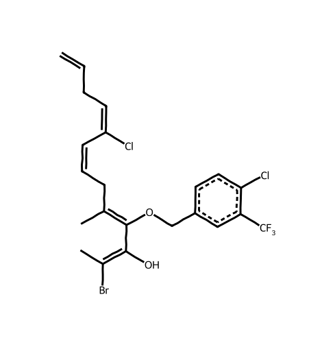 C=CC/C=C(Cl)\C=C/C/C(C)=C(OCc1ccc(Cl)c(C(F)(F)F)c1)/C(O)=C(\C)Br